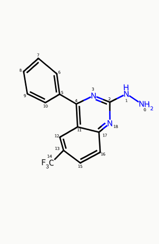 NNc1nc(-c2ccccc2)c2cc(C(F)(F)F)ccc2n1